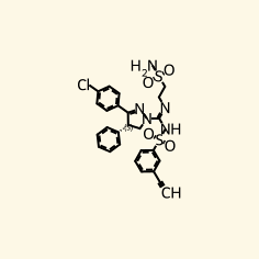 C#Cc1cccc(S(=O)(=O)NC(=NCCS(N)(=O)=O)N2C[C@H](c3ccccc3)C(c3ccc(Cl)cc3)=N2)c1